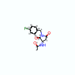 CC(=O)N[C@@H]1CC(=O)N(Cc2ccc(F)cc2)C1=O